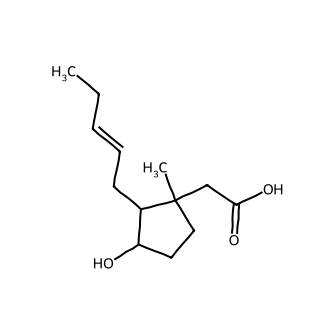 CCC=CCC1C(O)CCC1(C)CC(=O)O